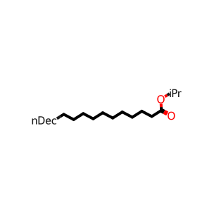 CCCCCCCCCCCCCCCCCCCCC(=O)OC(C)C